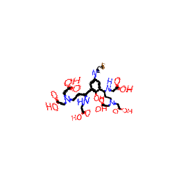 O=C(O)CNC(CCN(CC(=O)O)CC(=O)O)c1cc(N=C=S)cc(C(CCN(CC(=O)O)CC(=O)O)NCC(=O)O)c1O